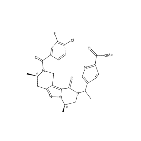 COC(=O)c1ccc(C(C)N2C[C@@H](C)n3nc4c(c3C2=O)CN(C(=O)c2ccc(Cl)c(F)c2)[C@H](C)C4)cn1